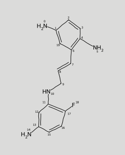 Nc1ccc(N)c(/C=C/CNc2cc(N)ccc2F)c1